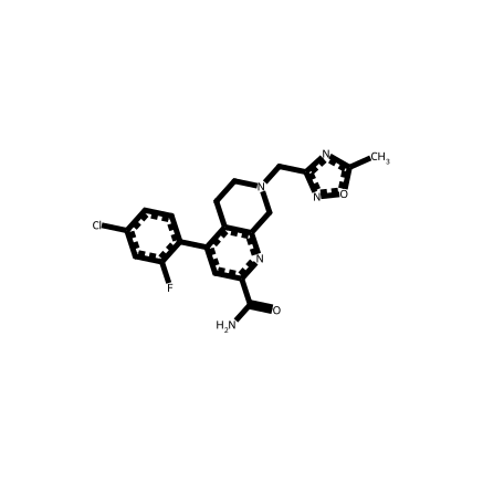 Cc1nc(CN2CCc3c(-c4ccc(Cl)cc4F)cc(C(N)=O)nc3C2)no1